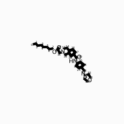 CCCCCCCCOC(=O)CN1CCc2ccc(C(=O)Nc3ccc(C=NN4CCOCC4)cc3)cc2C1